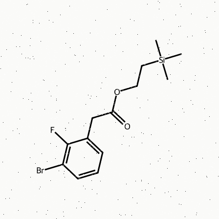 C[Si](C)(C)CCOC(=O)Cc1cccc(Br)c1F